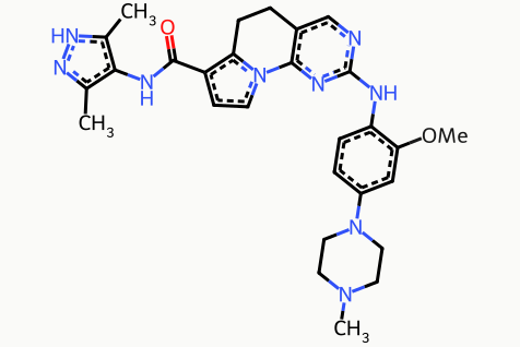 COc1cc(N2CCN(C)CC2)ccc1Nc1ncc2c(n1)-n1ccc(C(=O)Nc3c(C)n[nH]c3C)c1CC2